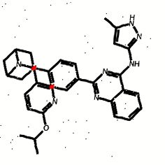 Cc1cc(Nc2nc(-c3ccc(N4CC5CC(C4)N5Cc4ccc(OC(C)C)nc4)nc3)nc3ccccc23)n[nH]1